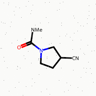 CNC(=O)N1CCC(C#N)C1